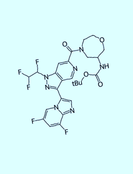 CC(C)(C)OC(=O)NC1COCCN(C(=O)c2cc3c(cn2)c(-c2cnc4c(F)cc(F)cn24)nn3C(F)C(F)F)C1